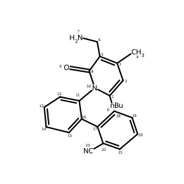 CCCCc1cc(C)c(CN)c(=O)n1-c1ccccc1-c1ccccc1C#N